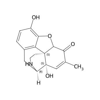 CC1=C[C@@]2(O)[C@H]3Cc4ccc(O)c5c4[C@@]2(CCN3)C(O5)C1=O